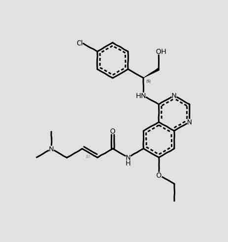 CCOc1cc2ncnc(N[C@H](CO)c3ccc(Cl)cc3)c2cc1NC(=O)/C=C/CN(C)C